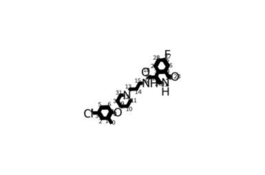 Cc1cc(Cl)ccc1OC1CCN(CCCNC(=O)c2c[nH]c(=O)c3cc(F)ccc23)CC1